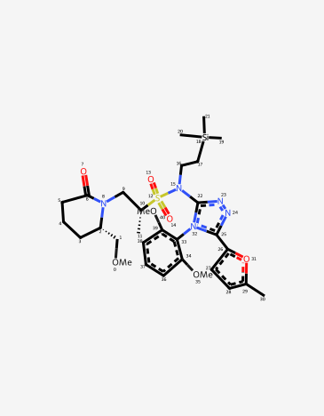 COC[C@@H]1CCCC(=O)N1C[C@@H](C)S(=O)(=O)N(CC[Si](C)(C)C)c1nnc(-c2ccc(C)o2)n1-c1c(OC)cccc1OC